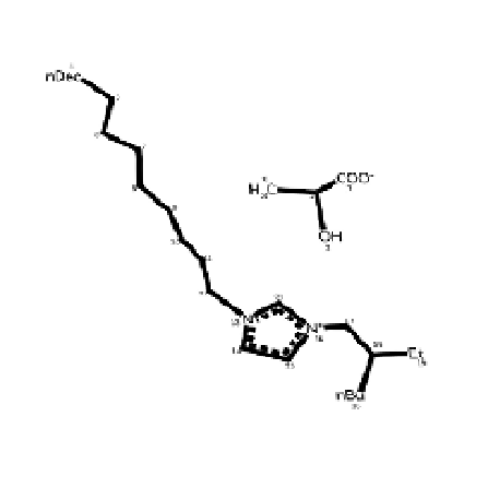 CC(O)C(=O)[O-].CCCCCCCCCCCCCCCCCCn1cc[n+](CC(CC)CCCC)c1